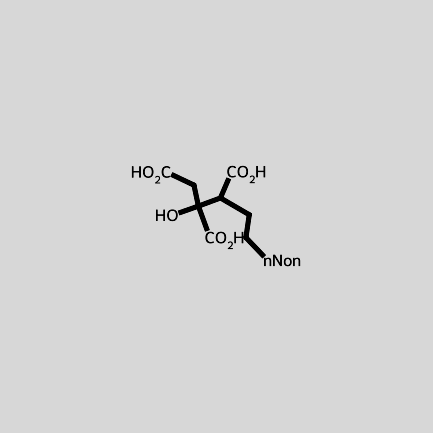 CCCCCCCCCCCC(C(=O)O)C(O)(CC(=O)O)C(=O)O